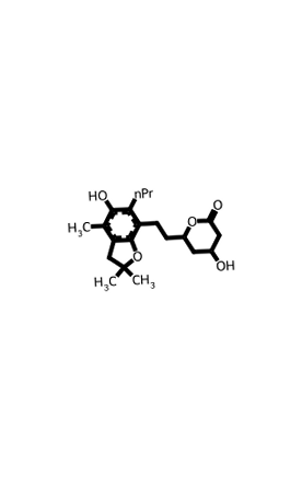 CCCc1c(O)c(C)c2c(c1CCC1CC(O)CC(=O)O1)OC(C)(C)C2